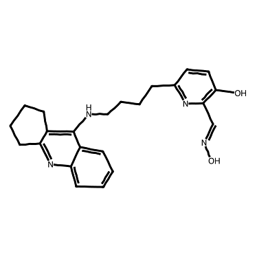 ON=Cc1nc(CCCCNc2c3c(nc4ccccc24)CCCC3)ccc1O